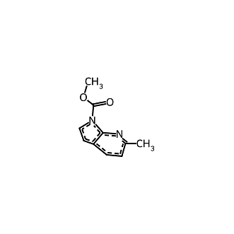 COC(=O)n1ccc2ccc(C)nc21